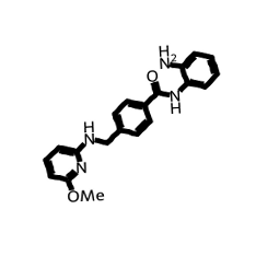 COc1cccc(NCc2ccc(C(=O)Nc3ccccc3N)cc2)n1